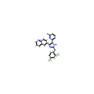 Cc1cccc(-c2[nH]c(Cc3ccc(Cl)cc3Cl)nc2-c2ccc3ncccc3c2)n1